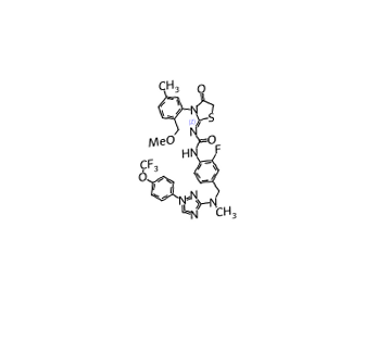 COCc1ccc(C)cc1N1C(=O)CS/C1=N\C(=O)Nc1ccc(CN(C)c2ncn(-c3ccc(OC(F)(F)F)cc3)n2)cc1F